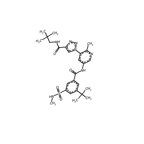 CNS(=O)(=O)c1cc(C(=O)Nc2cnc(C)c(-n3cc(C(=O)NCC(C)(C)C)nn3)c2)cc(C(C)(C)C)c1